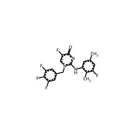 Cc1cc(F)c(C)c(Nc2nc(=O)c(F)cn2Cc2cc(F)c(F)c(F)c2)c1